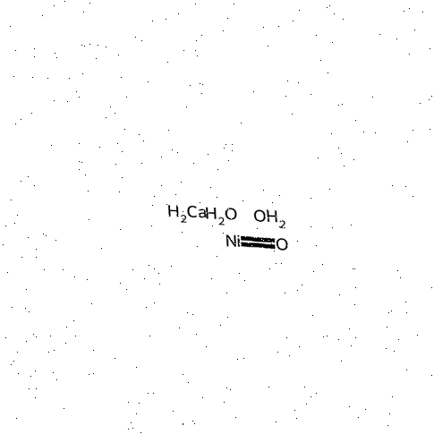 O.O.[CaH2].[O]=[Ni]